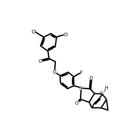 O=C(COc1ccc(N2C(=O)C3C4C=C[C@H](C5CC45)C3C2=O)c(F)c1)c1cc(Cl)cc(Cl)c1